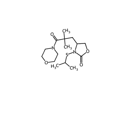 CC(C)SN1C(=O)OCC1CC(C)(C)C(=O)N1CCOCC1